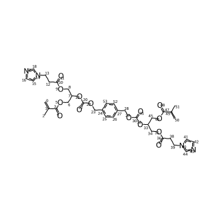 C=C(C)C(=O)OCC(COC(=O)CCn1ccnc1)OC(=O)OCc1ccc(COC(=O)OC(COC(=O)CCn2ccnc2)COC(=O)C(=C)C)cc1